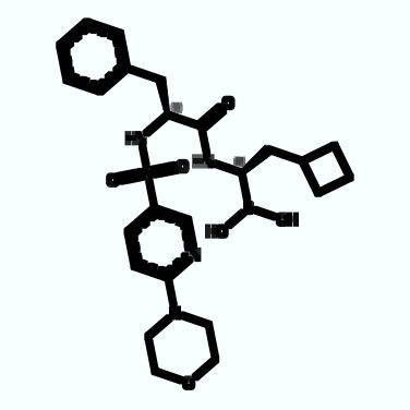 O=C(N[C@@H](CC1CCC1)B(O)O)[C@H](Cc1ccccc1)NS(=O)(=O)c1ccc(N2CCOCC2)nc1